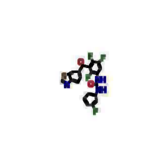 O=C(Nc1cccc(F)c1)Nc1cc(F)c(F)c(C(=O)c2ccc3ncsc3c2)c1F